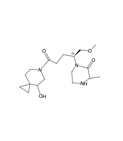 COC[C@H](CCC(=O)N1CCC2(CC2)C(O)C1)N1CCNC(C)C1=O